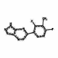 Cc1c(F)ccc(-c2cnc3cn[nH]c3n2)c1F